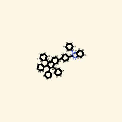 c1ccc(-c2c(-c3ccccc3)c(-c3ccccc3)c3cc(-c4ccc(-c5nc6ccccc6n5-c5ccccc5)cc4)ccc3c2-c2ccccc2)cc1